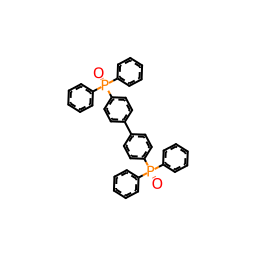 O=P(c1ccccc1)(c1ccccc1)c1ccc(-c2ccc(P(=O)(c3ccccc3)c3ccccc3)cc2)cc1